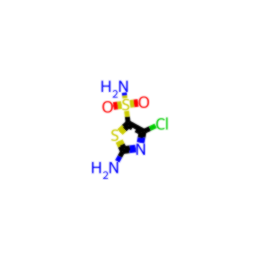 Nc1nc(Cl)c(S(N)(=O)=O)s1